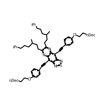 CCCCCCCCCCCCOc1ccc(C#Cc2c3nsnc3c(C#Cc3ccc(OCCCCCCCCCCCC)cc3)c3nc(CCC(C)CCCC(C)C)c(CCC(C)CCCC(C)C)nc23)cc1